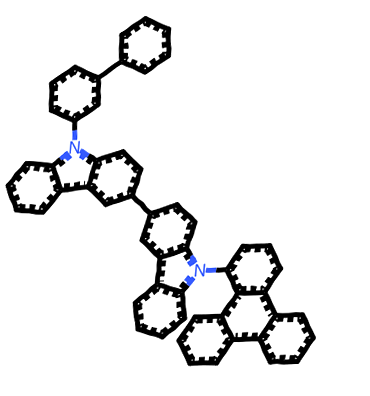 c1ccc(-c2cccc(-n3c4ccccc4c4cc(-c5ccc6c(c5)c5ccccc5n6-c5cccc6c7ccccc7c7ccccc7c56)ccc43)c2)cc1